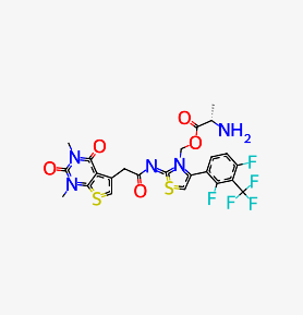 C[C@H](N)C(=O)OCn1c(-c2ccc(F)c(C(F)(F)F)c2F)cs/c1=N\C(=O)Cc1csc2c1c(=O)n(C)c(=O)n2C